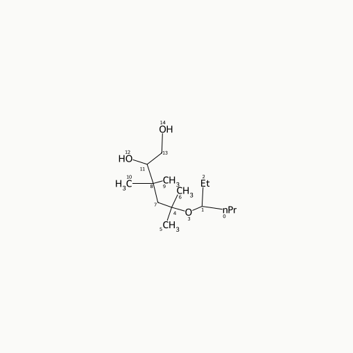 CCCC(CC)OC(C)(C)CC(C)(C)C(O)CO